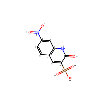 O=c1[nH]c2cc([N+](=O)[O-])ccc2cc1S(=O)(=O)O